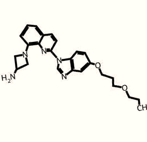 CCCOCCCOc1ccc2c(c1)ncn2-c1ccc2cccc(N3CC(N)C3)c2n1